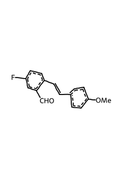 COc1ccc(C=Cc2ccc(F)cc2C=O)cc1